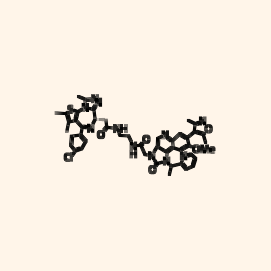 COc1cc2c(cc1-c1c(C)noc1C)ncc1c2n(C(C)c2ccccn2)c(=O)n1CC(=O)NCCNC(=O)C[C@@H]1N=C(c2ccc(Cl)cc2)c2c(sc(C)c2C)-n2c(C)nnc21